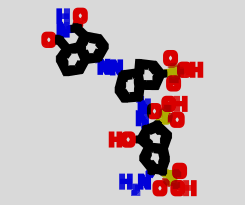 Nc1cc2c(O)c(N=Nc3ccc(N=Nc4ccc5c6c(cccc46)C(=O)NC5=O)c4ccc(S(=O)(=O)O)cc34)c(S(=O)(=O)O)cc2cc1S(=O)(=O)O